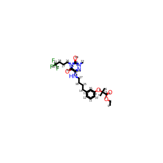 CCOC(=O)C(C)(C)Oc1cccc(CCCCNc2nn(C)c(=O)n(CCCC(F)(F)F)c2=O)c1